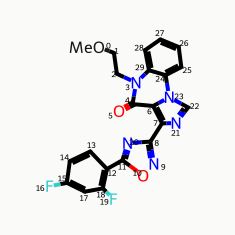 COCCn1c(=O)c2c(-c3noc(-c4ccc(F)cc4F)n3)ncn2c2ccccc21